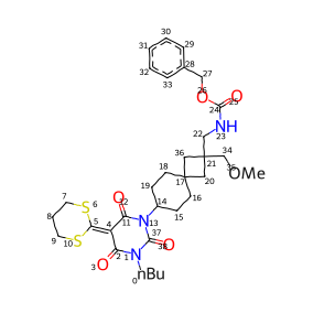 CCCCN1C(=O)C(=C2SCCCS2)C(=O)N(C2CCC3(CC2)CC(CNC(=O)OCc2ccccc2)(COC)C3)C1=O